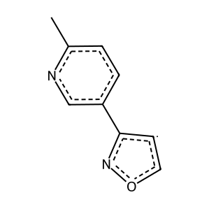 Cc1ccc(-c2[c]con2)cn1